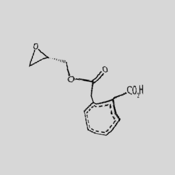 O=C(O)c1ccccc1C(=O)OC[C@@H]1CO1